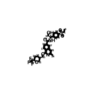 CCS(=O)(=O)c1ccc([C@H](CO)NC(=O)c2ccc3c(OC[C@@H]4CC[C@H](C(F)(F)F)OC4)nc(C)cc3c2)cc1